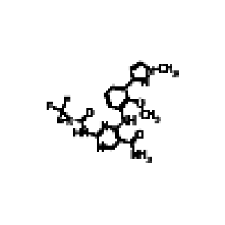 COc1c(Nc2nc(NC(=O)[C@@H]3CC3(F)F)ncc2C(N)=O)cccc1-c1ccn(C)n1